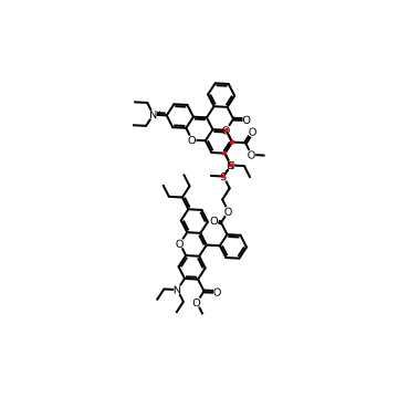 CCC(CC)=c1ccc2c(c1)Oc1cc(N(CC)CC)c(C(=O)OC)cc1C=2c1ccccc1C(=O)OCCSSCCOC(=O)c1ccccc1-c1c2ccc(=[N+](CC)CC)cc-2oc2cc(N(CC)CC)c(C(=O)OC)cc12